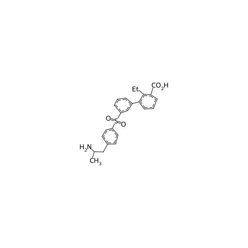 CCc1c(C(=O)O)cccc1-c1cccc(S(=O)(=O)c2ccc(CC(C)N)cc2)c1